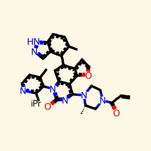 C=CC(=O)N1CCN(c2nc(=O)n(-c3c(C)ccnc3C(C)C)c3cc(-c4c(C)ccc5[nH]ncc45)c4ccoc4c23)[C@@H](C)C1